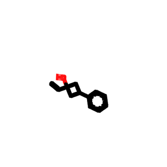 C=CC1(O)CC(c2ccccc2)C1